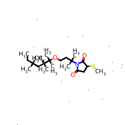 CCC(C)(C)CC(C)(C)C(C)(C)OCCC(C)(C)N1C(=O)CC(SC)C1=O